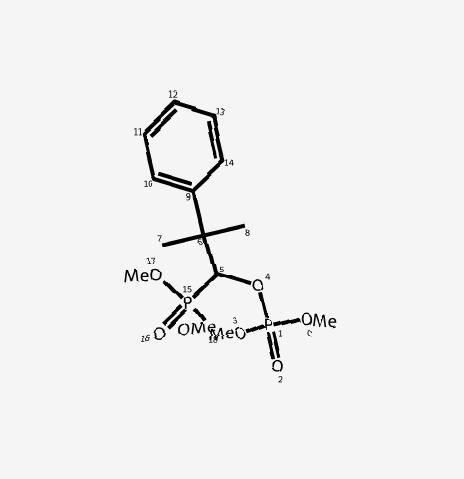 COP(=O)(OC)OC(C(C)(C)c1ccccc1)P(=O)(OC)OC